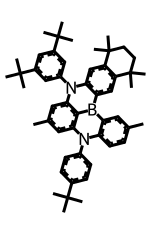 Cc1ccc2c(c1)B1c3cc4c(cc3N(c3cc(C(C)(C)C)cc(C(C)(C)C)c3)c3cc(C)cc(c31)N2c1ccc(C(C)(C)C)cc1)C(C)(C)CCC4(C)C